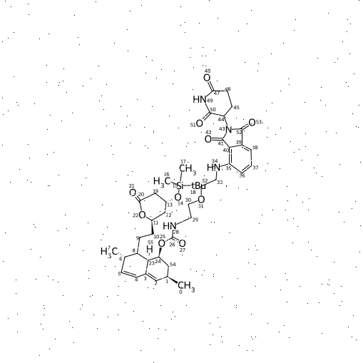 C[C@H]1C=C2C=C[C@H](C)C(CC[C@@H]3C[C@@H](O[Si](C)(C)C(C)(C)C)CC(=O)O3)[C@H]2[C@@H](OC(=O)NCCOCCNc2cccc3c2C(=O)N(C2CCC(=O)NC2=O)C3=O)C1